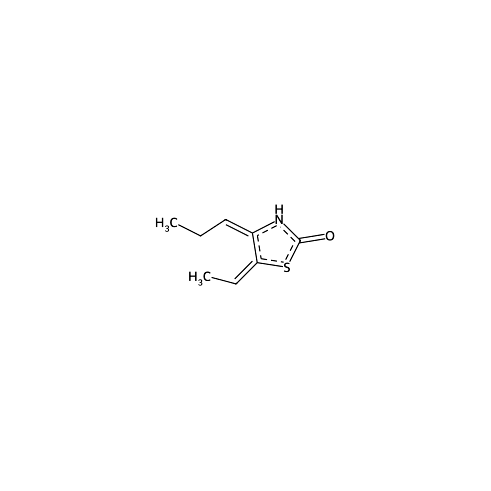 C/C=c1/sc(=O)[nH]/c1=C/CC